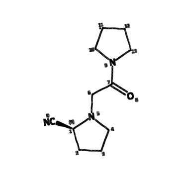 N#C[C@@H]1CCCN1CC(=O)N1C[CH]CC1